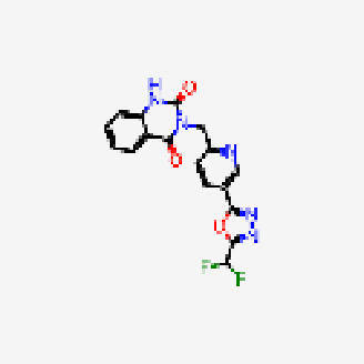 O=c1[nH]c2ccccc2c(=O)n1Cc1ccc(-c2nnc(C(F)F)o2)cn1